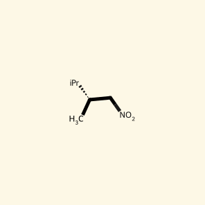 CC(C)[C@@H](C)C[N+](=O)[O-]